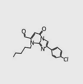 CCCCCn1c(C=O)cc(=O)n2cc(-c3ccc(Cl)cc3)nc12